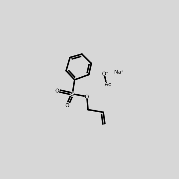 C=CCOS(=O)(=O)c1ccccc1.CC(=O)[O-].[Na+]